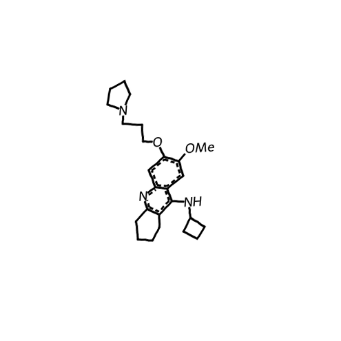 COc1cc2c(NC3CCC3)c3c(nc2cc1OCCCN1CCCC1)CCCC3